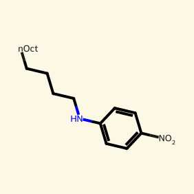 CCCCCCCCCCCCNc1ccc([N+](=O)[O-])cc1